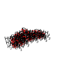 C[SiH](C)O[Si](C)(C)O[Si](C)(C)O[Si](C)(C)O[Si](C)(C)O[Si](C)(C)O[Si](C)(C)O[Si](C)(C)O[Si](C)(C)O[Si](C)(C)O[Si](C)(C)O[Si](C)(C)O[Si](C)(C)O[Si](C)(C)O[Si](C)(C)O[Si](C)(C)O[Si](C)(C)O[Si](C)(C)O[Si](C)(C)O[Si](C)(C)O[Si](C)(C)O[Si](C)(C)O[Si](C)(C)O[Si](C)(C)O[Si](C)(C)O[Si](C)(C)O[Si](C)(C)O[Si](C)(C)O[Si](C)(C)O[Si](C)(C)OO[Si](C)(C)C